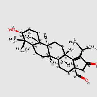 CC(C)C1=C2[C@H]3CC[C@@H]4[C@@]5(C)CC[C@H](O)C(C)(C)[C@@H]5CC[C@@]4(C)[C@]3(C)CC[C@@]2(C=O)CC1=O